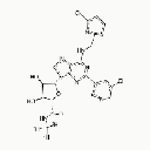 [2H]C([2H])([2H])NC(=O)[C@H]1O[C@@H](n2cnc3c(NCc4cccc(Cl)n4)nc(-c4cncc(Cl)c4)nc32)[C@H](O)[C@@H]1O